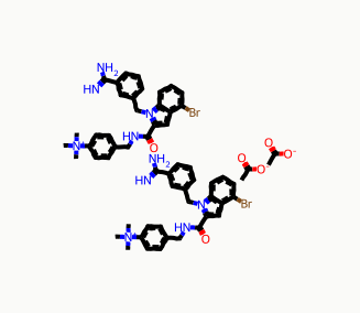 CC(=O)[O-].CC(=O)[O-].C[N+](C)(C)c1ccc(CNC(=O)c2cc3c(Br)cccc3n2Cc2cccc(C(=N)N)c2)cc1.C[N+](C)(C)c1ccc(CNC(=O)c2cc3c(Br)cccc3n2Cc2cccc(C(=N)N)c2)cc1